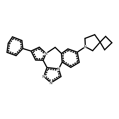 c1ccc(-c2cc3n(c2)Cc2cc(N4CCC5(CCC5)C4)ccc2-n2cnnc2-3)cc1